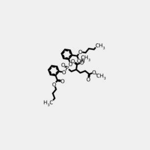 CCCCOC(=O)c1ccccc1OP(=O)(CC(CCC(=O)OC)C(=O)OC)Oc1ccccc1C(O)OCCCC